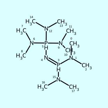 CN(C)[PH](=N[PH](N(C)C)(N(C)C)N(C)C)N(C)C